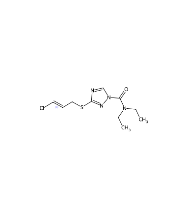 CCN(CC)C(=O)n1cnc(SC/C=C/Cl)n1